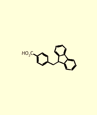 O=C(O)c1ccc(CC2c3ccccc3-c3ccccc32)cc1